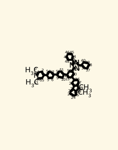 Cc1cc(-c2ccc(-c3ccc(-c4cc(-c5ccc6c(c5)-c5ccccc5C6(C)C)cc(-c5nc(-c6ccccc6)nc(-c6ccccc6)n5)c4)cc3)cc2)cc(C)n1